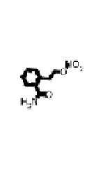 NC(=O)c1ccccc1CCO[N+](=O)[O-]